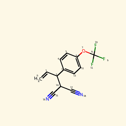 C=CC(c1ccc(OC(F)(F)F)cc1)C(C#N)C#N